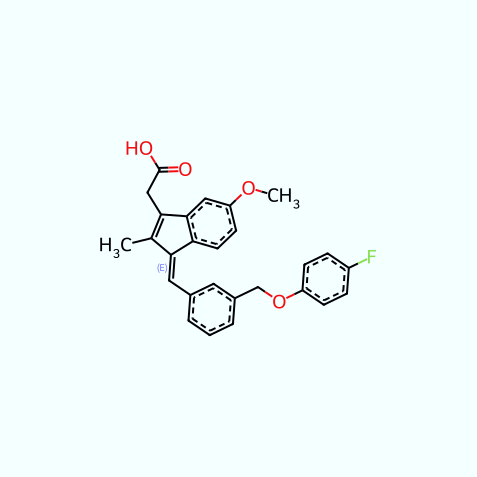 COc1ccc2c(c1)C(CC(=O)O)=C(C)/C2=C/c1cccc(COc2ccc(F)cc2)c1